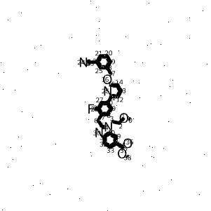 COCCn1c(Cc2ccc(-c3cccc(OCc4cccc(C#N)c4)n3)cc2F)nc2ccc(C(=O)OC)cc21